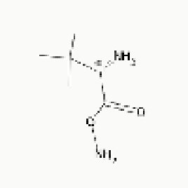 CC(C)(C)[C@H](N)C(=O)ON